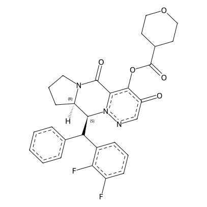 O=C(Oc1c2n(ncc1=O)[C@@H](C(c1ccccc1)c1cccc(F)c1F)[C@H]1CCCN1C2=O)C1CCOCC1